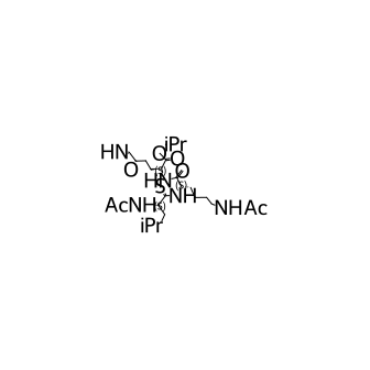 CC(=O)NCCCC[C@H](NC(=S)[C@H](CC(C)C)NC(C)=O)C(=O)N[C@@H](CCC(=O)C=N)C(=O)OC(C)C